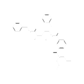 CCCN(CCC)C(=O)c1cc(C)cc(C(=O)N[C@@H](Cc2ccccc2)[C@@H](O)[C@H](O)[C@@H](C)C(=O)NCc2ccccc2)c1